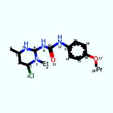 CCN1C(Cl)CC(C)NC1NC(=O)Nc1ccc(OC(C)C)cc1